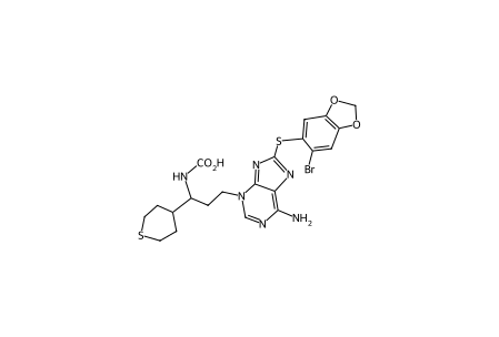 Nc1ncn(CCC(NC(=O)O)C2CCSCC2)c2nc(Sc3cc4c(cc3Br)OCO4)nc1-2